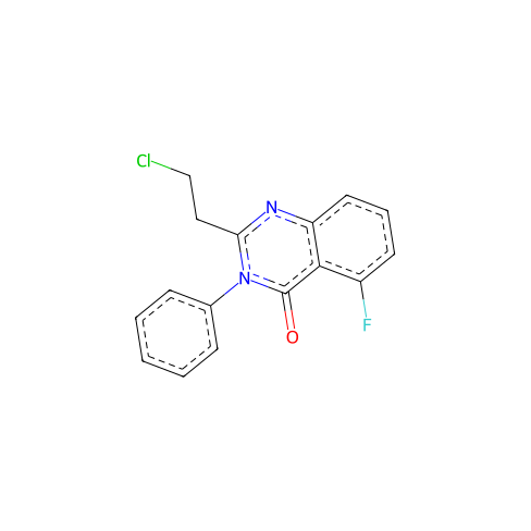 O=c1c2c(F)cccc2nc(CCCl)n1-c1ccccc1